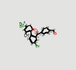 Cc1cc(Br)ccc1-c1ccc(Br)cc1C(O)c1ccc(C=O)cc1